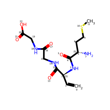 C=C[C@H](NC(=O)[C@@H](N)CCSC)C(=O)NCC(=O)NCC(=O)O